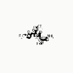 Nc1nc(/C(=N/O)C(=O)N[C@@H]2C(=O)N3C(C(=O)OC(=O)C(F)(F)F)=C(C=C4CCCN(CC(F)(F)F)C4=O)CS[C@H]23)cs1